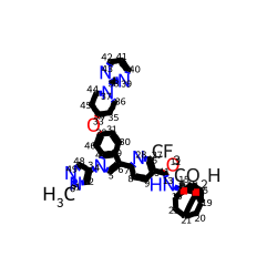 Cn1cc(-n2cc(-c3ccc(C(=O)NC4(C(=O)O)C5CCC6CC(C5)CC4C6)c(C(F)(F)F)n3)c3ccc(OC4CCN(c5ncccn5)CC4)cc32)cn1